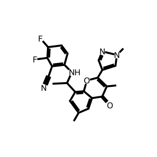 Cc1cc(C(C)Nc2ccc(F)c(F)c2C#N)c2oc(-c3cnn(C)c3)c(C)c(=O)c2c1